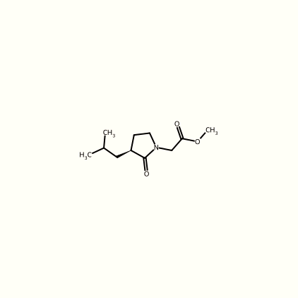 COC(=O)CN1CC[C@H](CC(C)C)C1=O